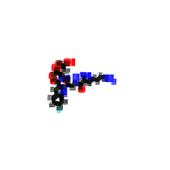 NCCCC[C@@H](N)C(=O)NCC(=O)N[C@@H](Cc1ccc(F)cc1)C(=O)N[C@@H](CC(=O)O)C(=O)O